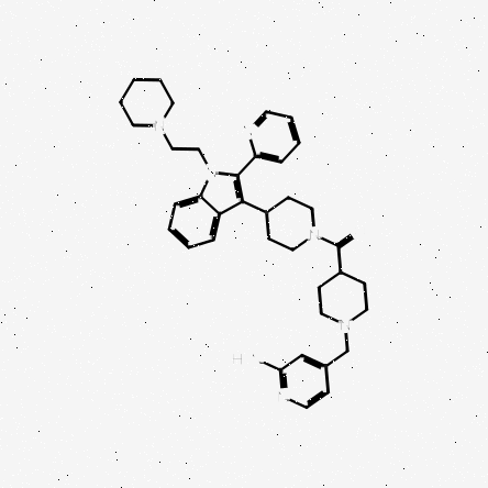 Nc1cc(CN2CCC(C(=O)N3CCC(c4c(-c5ccccn5)n(CCN5CCCCC5)c5ccccc45)CC3)CC2)ccn1